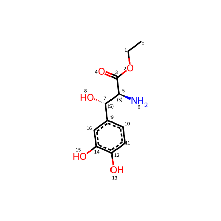 CCOC(=O)[C@@H](N)[C@@H](O)c1ccc(O)c(O)c1